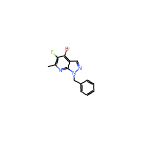 Cc1nc2c(cnn2Cc2ccccc2)c(Br)c1F